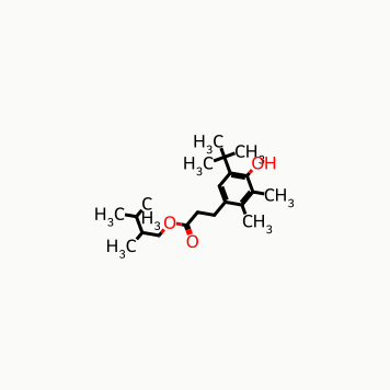 Cc1c(CCC(=O)OCC(C)C(C)C)cc(C(C)(C)C)c(O)c1C